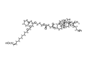 CCCCCCCC/C=C\CCCCCCCCOCOCC(CN1CCCCC1)OCCCOC(=O)CCC(=O)O[C@H]1CC[C@@]2(C)C(=CC[C@H]3[C@H]4CC[C@H]([C@@H](C)CCCC(C)C)[C@@]4(C)CC[C@H]32)C1